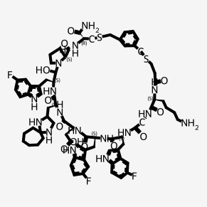 NCCCC[C@@H]1NC(=O)CCSCc2cccc(c2)CSC[C@@H](C(N)=O)NC(=O)[C@@H]2CCCN2C(O)[C@H](Cc2c[nH]c3ccc(F)cc23)NC(=O)[C@H](CC2CNC3(CCCCCC3)N2)NC(=O)[C@H](CC(=O)O)NC(=O)[C@H](Cc2c[nH]c3ccc(F)cc23)NC(=O)[C@H](Cc2c[nH]c3ccc(F)cc23)NC(=O)CNC1=O